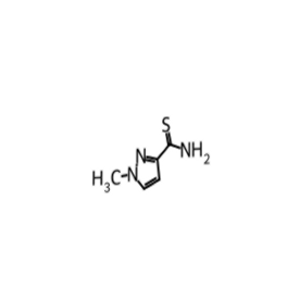 Cn1ccc(C(N)=S)n1